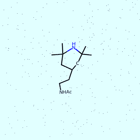 CC(=O)NCCC1CC(C)(C)NC(C)(C)C1